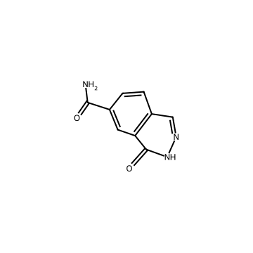 NC(=O)c1ccc2cn[nH]c(=O)c2c1